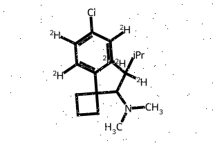 [2H]c1c([2H])c(C2(C(N(C)C)C([2H])([2H])C(C)C)CCC2)c([2H])c([2H])c1Cl